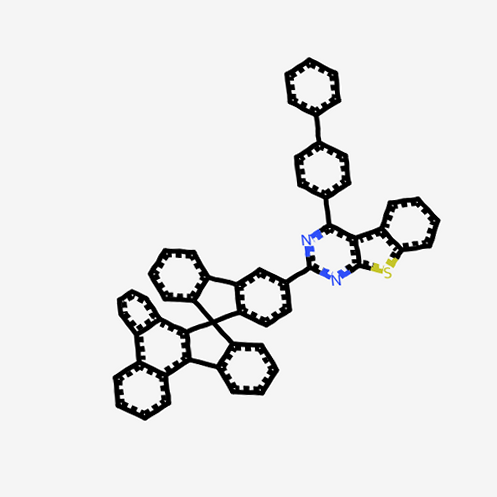 c1ccc(-c2ccc(-c3nc(-c4ccc5c(c4)-c4ccccc4C54c5ccccc5-c5c4c4ccccc4c4ccccc54)nc4sc5ccccc5c34)cc2)cc1